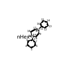 CCCCCC[N+]1(c2ccccc2)C=CN(c2ccccc2)C=C1